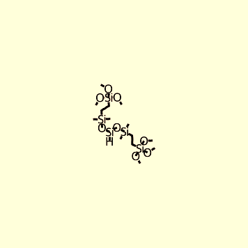 CO[Si](CC[Si](C)(C)O[SiH](C)O[Si](C)(C)CC[Si](OC)(OC)OC)(OC)OC